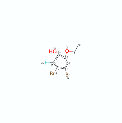 CCOc1cc(Br)c(Br)c(F)c1O